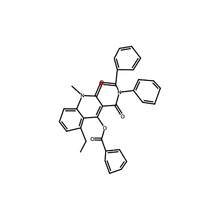 CCc1cccc2c1c(OC(=O)c1ccccc1)c(C(=O)N(C(=O)c1ccccc1)c1ccccc1)c(=O)n2C